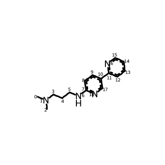 CN(C)CCCNc1ccc(-c2ccccn2)cn1